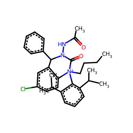 CCCC[N+]1(c2c(C(C)C)cccc2C(C)C)C(=O)N(NC(C)=O)C(c2ccccc2)c2cc(Cl)ccc21